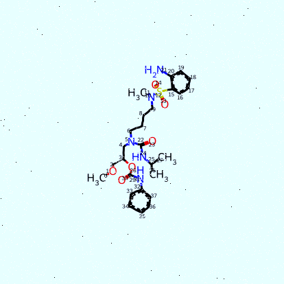 COC[C@@H](CN(CCCCN(C)S(=O)(=O)c1ccccc1N)C(=O)NC(C)C)OC(=O)Nc1ccccc1